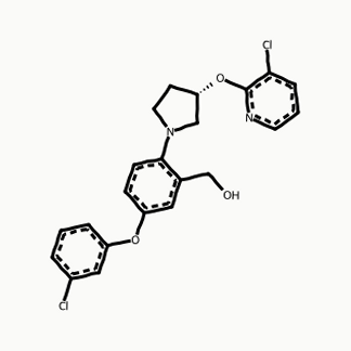 OCc1cc(Oc2cccc(Cl)c2)ccc1N1CC[C@H](Oc2ncccc2Cl)C1